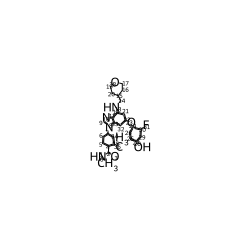 CNC(=O)c1ccc(-n2cnc3c(NCC4CCOCC4)cc(Oc4ccc(O)cc4F)cc32)cc1C